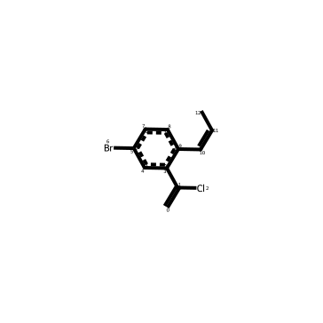 C=C(Cl)c1cc(Br)ccc1/C=C\C